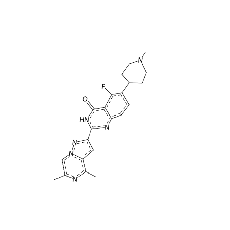 Cc1cn2nc(-c3nc4ccc(C5CCN(C)CC5)c(F)c4c(=O)[nH]3)cc2c(C)n1